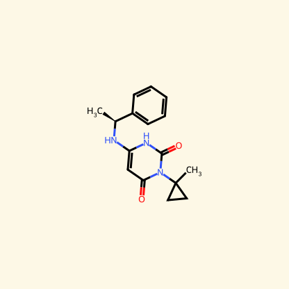 C[C@H](Nc1cc(=O)n(C2(C)CC2)c(=O)[nH]1)c1ccccc1